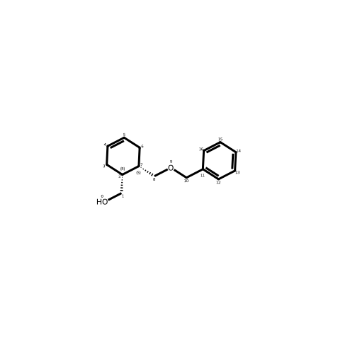 OC[C@@H]1CC=CC[C@@H]1COCc1ccccc1